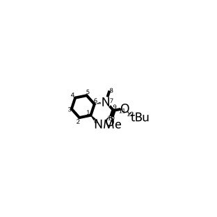 CN[C@H]1CCCC[C@@H]1N(C)C(=O)OC(C)(C)C